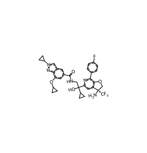 N[C@@]1(C(F)(F)F)COc2c1cc(C(O)(CNC(=O)c1cc(OC3CC3)c3nn(C4CC4)cc3c1)C1CC1)nc2-c1ccc(F)cc1